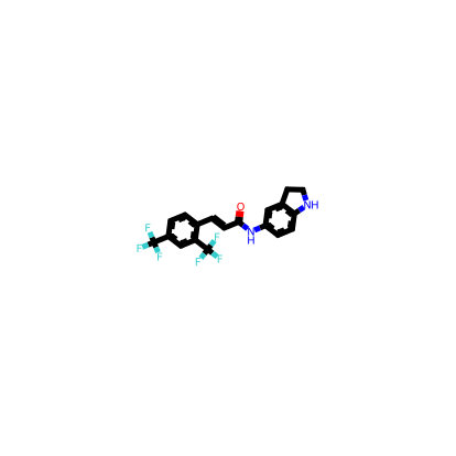 O=C(/C=C/c1ccc(C(F)(F)F)cc1C(F)(F)F)Nc1ccc2c(c1)CCN2